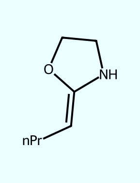 CCCC=C1NCCO1